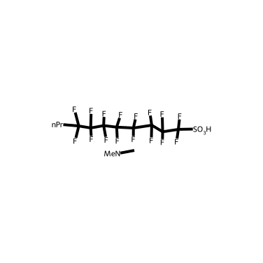 CCCC(F)(F)C(F)(F)C(F)(F)C(F)(F)C(F)(F)C(F)(F)C(F)(F)C(F)(F)S(=O)(=O)O.CNC